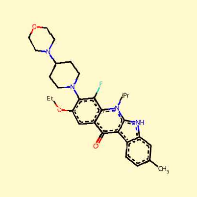 CCOc1cc2c(=O)c3c4ccc(C)cc4[nH]c3n(C(C)C)c2c(F)c1N1CCC(N2CCOCC2)CC1